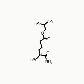 CCCC(CCC)COC(=O)CCCN(CCC)C(N)=O